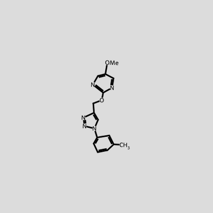 COc1cnc(OCc2cn(-c3cccc(C)c3)nn2)nc1